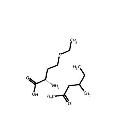 CCC(C)CC(C)=O.CCSCC[C@H](N)C(=O)O